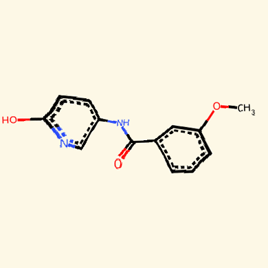 COc1cccc(C(=O)Nc2ccc(O)nc2)c1